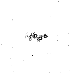 CC(=O)c1ccc(-n2cnc3ccc(Nc4ccc(C)nn4)cc32)nc1N1CCN(CC(F)(F)F)C(=O)C1